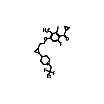 CCC(F)(F)CN1CCC([C@H]2C[C@H]2CCOc2cc(F)c(C(=O)C3CC3)c(F)c2C)CC1